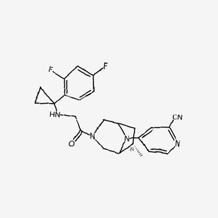 C[C@H]1CC2CN(C(=O)CNC3(c4ccc(F)cc4F)CC3)CC1N2c1ccnc(C#N)c1